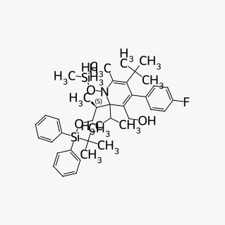 CC1=C(C(C)(C)C)C(c2ccc(F)cc2)=C(CO)C(C(C)C)([C@H](C)CO[Si](c2ccccc2)(c2ccccc2)C(C)(C)C)N1O[SiH](C)C